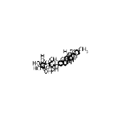 C[C@@H]1CC[C@@]2(OC1)O[C@H]1C[C@H]3[C@@H]4CC=C5C[C@@H](O[C@@H]6O[C@@H](C)[C@H](O[C@@H]7O[C@H](CO)[C@@H](O)[C@H](O)[C@H]7O)[C@@H](O)[C@H]6O)CC[C@]5(C)[C@H]4CC[C@]3(C)[C@H]1[C@@H]2C